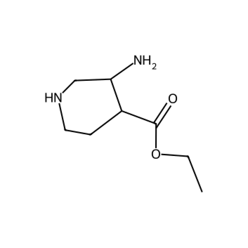 CCOC(=O)C1CCNCC1N